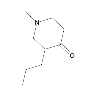 CCCC1CN(C)CCC1=O